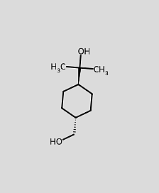 CC(C)(O)[C@H]1CC[C@H](CO)CC1